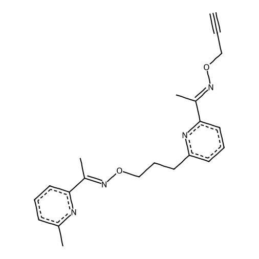 C#CCO/N=C(\C)c1cccc(CCCO/N=C(\C)c2cccc(C)n2)n1